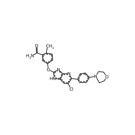 Cc1ccc(Oc2nc3nc(-c4ccc(N5CCOCC5)cc4)c(Cl)cc3[nH]2)cc1C(N)=O